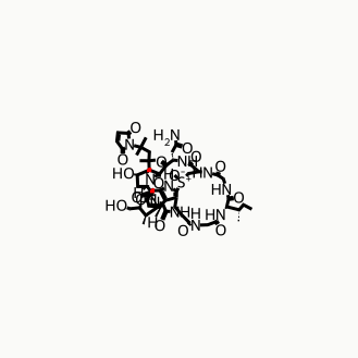 CC[C@H](C)[C@@H]1NC(=O)CNC(=O)C2Cc3c4[nH]c5cc(ccc35)OC(CC(C)(C)CC(C)(C)N3C(=O)C=CC3=O)(C(=O)[C@H](CC(N)=O)NC(=O)C(C[S+]4[O-])NC(=O)CNC1=O)N1C[C@H](O)C[C@H]1C(=O)N[C@@H]([C@@H](C)[C@@H](O)CO)C(=O)N2